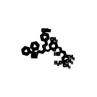 C=C1C[C@H](C[C@@H](O)CC(=C)C[Si](C)(C)C)O[C@H](C[C@@H](CCO[Si](c2ccccc2)(c2ccccc2)C(C)(C)C)OCc2ccc(OC)cc2)C1